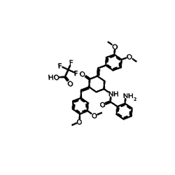 COc1ccc(/C=C2\CC(NC(=O)c3ccccc3N)C/C(=C\c3ccc(OC)c(OC)c3)C2=O)cc1OC.O=C(O)C(F)(F)F